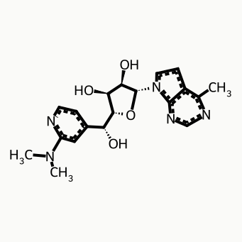 Cc1ncnc2c1ccn2[C@@H]1O[C@H]([C@H](O)c2ccnc(N(C)C)c2)[C@@H](O)[C@H]1O